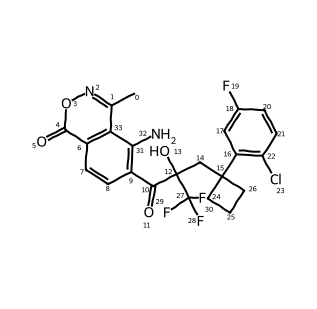 Cc1noc(=O)c2ccc(C(=O)C(O)(CC3(c4cc(F)ccc4Cl)CCC3)C(F)(F)F)c(N)c12